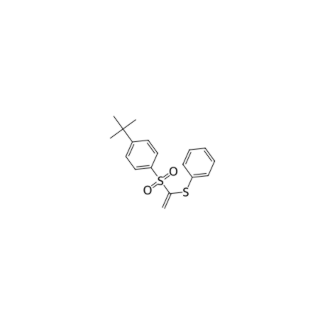 C=C(Sc1ccccc1)S(=O)(=O)c1ccc(C(C)(C)C)cc1